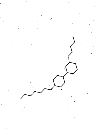 CCCCCCC[C@H]1CC[C@@H]([C@@H]2CCC[C@@H](CCCCC)C2)CC1